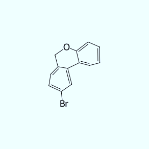 Brc1ccc2c(c1)-c1ccccc1OC2